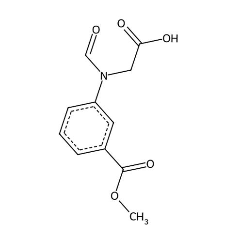 COC(=O)c1cccc(N(C=O)CC(=O)O)c1